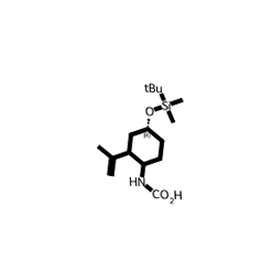 C=C(C)C1C[C@H](O[Si](C)(C)C(C)(C)C)CCC1NC(=O)O